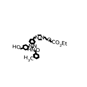 CCOC(=O)COCCN1CCN(Cc2ccc3c(c2)nc(NC(=O)c2cccc(C)c2)n3C2CCC(CO)CC2)CC1